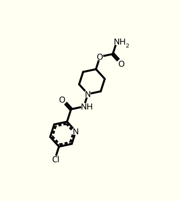 NC(=O)OC1CCN(NC(=O)c2ccc(Cl)cn2)CC1